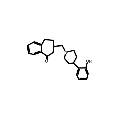 O=C1CC(CN2CCC(c3ccccc3O)CC2)CCc2ccccc21